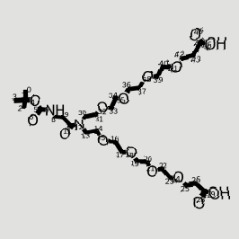 CC(C)(C)OC(=O)NCCC(=O)N(CCOCCOCCOCCOCCC(=O)O)CCOCCOCCOCCOCCC(=O)O